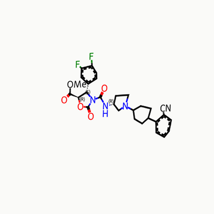 COC(=O)[C@@H]1OC(=O)N(C(=O)N[C@@H]2CCN(C3CCC(c4ccccc4C#N)CC3)C2)[C@H]1c1ccc(F)c(F)c1